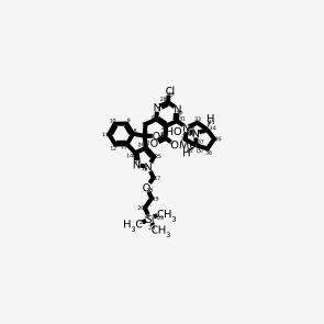 COC(=O)c1c(CC2(O)c3ccccc3-c3nn(COCC[Si](C)(C)C)cc32)nc(Cl)nc1N1C[C@H]2CC[C@@H](C1)N2C(=O)O